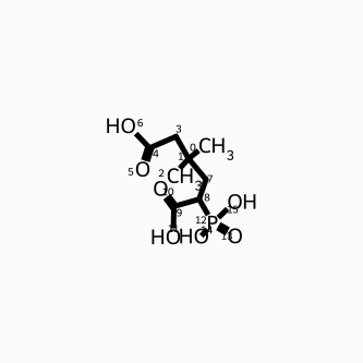 CC(C)(CC(=O)O)CC(C(=O)O)P(=O)(O)O